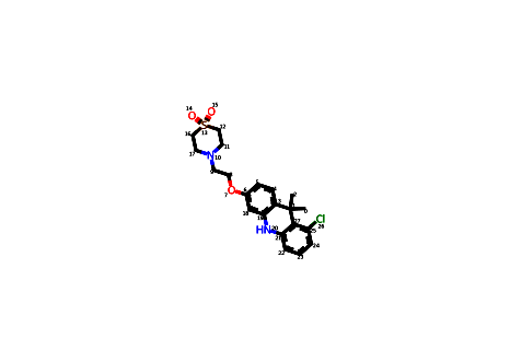 CC1(C)c2ccc(OCCN3CCS(=O)(=O)CC3)cc2Nc2cccc(Cl)c21